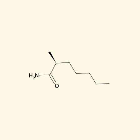 CCCCC[C@H](C)C(N)=O